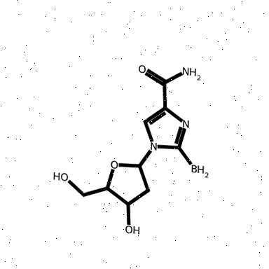 Bc1nc(C(N)=O)cn1C1CC(O)C(CO)O1